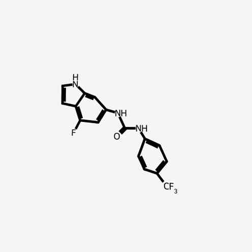 O=C(Nc1ccc(C(F)(F)F)cc1)Nc1cc(F)c2cc[nH]c2c1